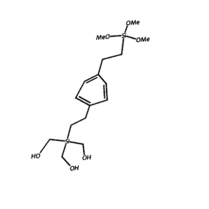 CO[Si](CCc1ccc(CC[Si](CO)(CO)CO)cc1)(OC)OC